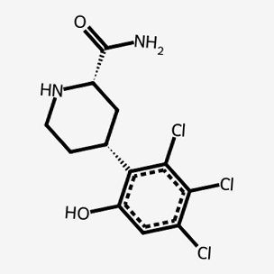 NC(=O)[C@@H]1C[C@H](c2c(O)cc(Cl)c(Cl)c2Cl)CCN1